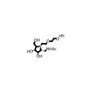 CCCOCCOCCN1C(CO)[C@@H](O)[C@H](O)[C@H]1CNC(C)=O